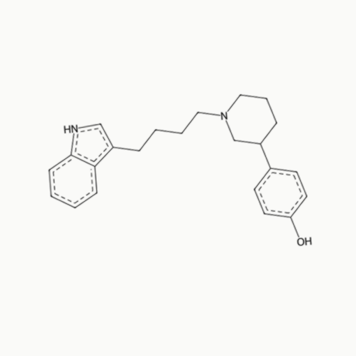 Oc1ccc(C2CCCN(CCCCc3c[nH]c4ccccc34)C2)cc1